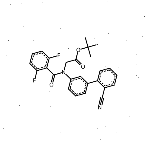 CC(C)(C)OC(=O)CN(C(=O)c1c(F)cccc1F)c1cccc(-c2ccccc2C#N)c1